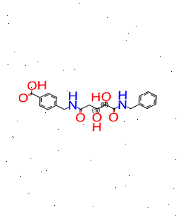 O=C(C[C@H](O)[C@@H](O)C(=O)NCc1ccccc1)NCc1ccc(C(=O)O)cc1